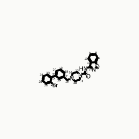 O=C(Nc1noc2ccccc12)N1CCN(Cc2cccc(-c3ccccc3Br)c2)CC1